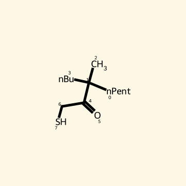 CCCCCC(C)(CCCC)C(=O)CS